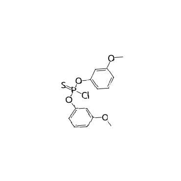 COc1cccc(OP(=S)(Cl)Oc2cccc(OC)c2)c1